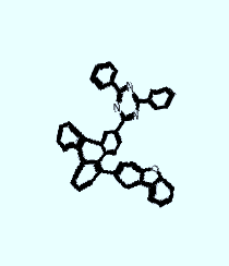 c1ccc(-c2nc(-c3ccccc3)nc(-c3ccc4c(c3)c3ccccc3c3cccc(-c5ccc6oc7ccccc7c6c5)c34)n2)cc1